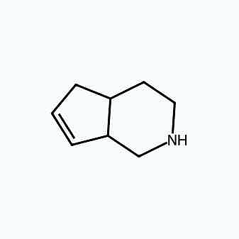 C1=CC2CNCCC2C1